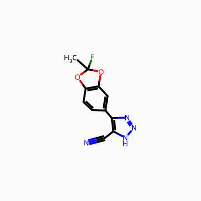 CC1(F)Oc2ccc(-c3nn[nH]c3C#N)cc2O1